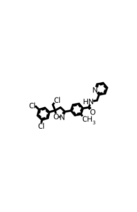 Cc1cc(C2=NOC(CCl)(c3cc(Cl)cc(Cl)c3)C2)ccc1C(=O)NCc1ccccn1